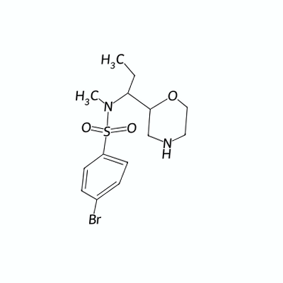 CCC(C1CNCCO1)N(C)S(=O)(=O)c1ccc(Br)cc1